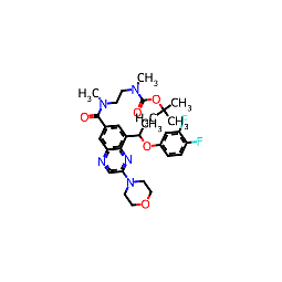 CC(Oc1ccc(F)c(F)c1)c1cc(C(=O)N(C)CCN(C)C(=O)OC(C)(C)C)cc2ncc(N3CCOCC3)nc12